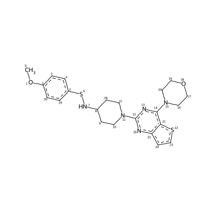 COc1ccc(SNC2CCN(c3nc(N4CCOCC4)c4sccc4n3)CC2)cc1